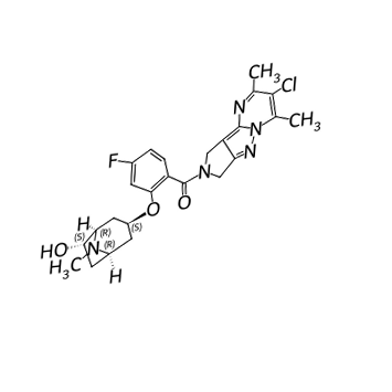 Cc1nc2c3c(nn2c(C)c1Cl)CN(C(=O)c1ccc(F)cc1O[C@H]1C[C@H]2C[C@H](O)[C@@H](C1)N2C)C3